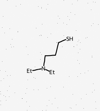 CCN(CC)CC[CH]S